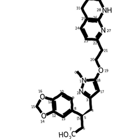 Cn1nc(C[C@@H](CC(=O)O)c2ccc3c(c2)OCO3)cc1OCCc1ccc2c(n1)NCCC2